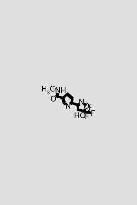 CNC(=O)c1ccc(C2=NOC(O)(C(F)(F)F)C2)nc1